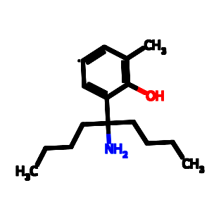 CCCCC(N)(CCCC)c1c[c]cc(C)c1O